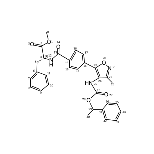 COC(=O)[C@@H](Cc1ccccc1)NC(=O)c1ccc(-c2onc(C)c2NC(=O)OC(C)c2ccccc2)cc1